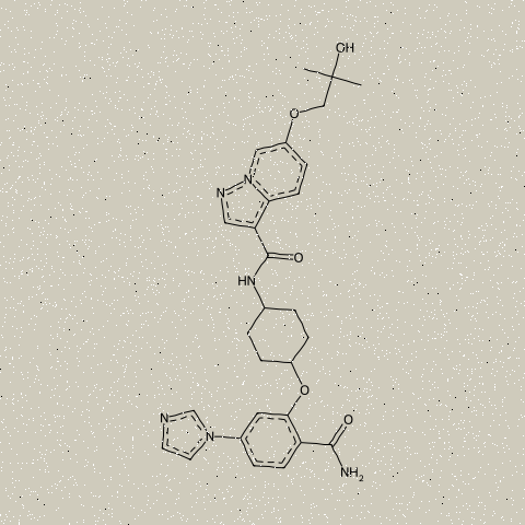 CC(C)(O)COc1ccc2c(C(=O)NC3CCC(Oc4cc(-n5ccnc5)ccc4C(N)=O)CC3)cnn2c1